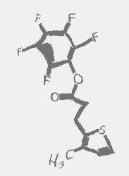 Cc1ccsc1CCC(=O)Oc1c(F)c(F)c(F)c(F)c1F